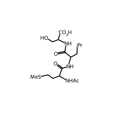 CSCCC(NC(C)=O)C(=O)NC(CC(C)C)C(=O)NC(CO)C(=O)O